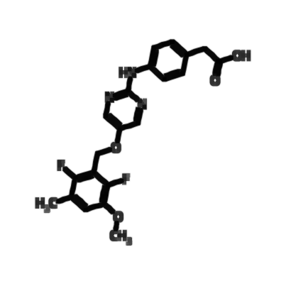 COc1cc(C)c(F)c(COc2cnc(Nc3ccc(CC(=O)O)cc3)nc2)c1F